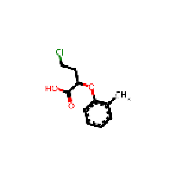 Cc1ccccc1OC(CCCl)C(=O)O